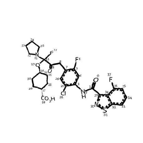 O=C(Nc1cc(F)c(CC(=O)C(F)(O[C@H]2CC[C@H](C(=O)O)CC2)N2CCCC2)cc1Cl)c1nsc2cccc(F)c12